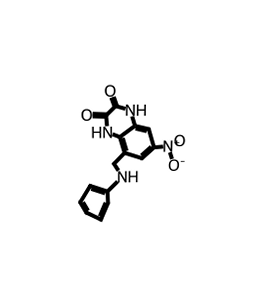 O=c1[nH]c2cc([N+](=O)[O-])cc(CNc3ccccc3)c2[nH]c1=O